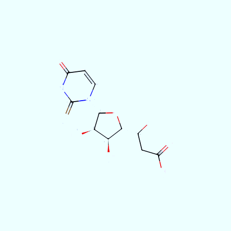 O=C(O)CC(O)[C@H]1O[C@@H](n2ccc(=O)[nH]c2=S)[C@H](O)[C@@H]1O